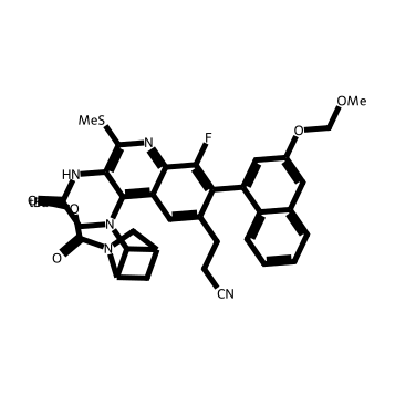 COCOc1cc(-c2c(CCC#N)cc3c4c(c(SC)nc3c2F)NC(=O)CN4C2C3CC2N(C(=O)OC(C)(C)C)C3)c2ccccc2c1